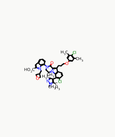 Cc1cc(OCCCc2c3n(c4c(-c5c(C)nn(C)c5C)c(Cl)ccc24)C(C)CN(c2cccc4cc(C(=O)O)n(CC5COC5)c24)C3=O)cc(C)c1Cl